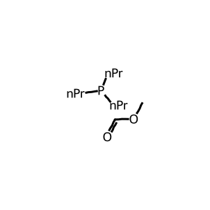 CCCP(CCC)CCC.COC=O